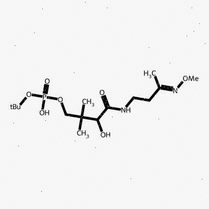 CO/N=C(\C)CCNC(=O)C(O)C(C)(C)COP(=O)(O)OC(C)(C)C